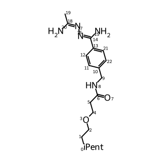 CCCC(C)CCOCCC(=O)NCc1ccc(/C(N)=N/N=C(/C)N)cc1